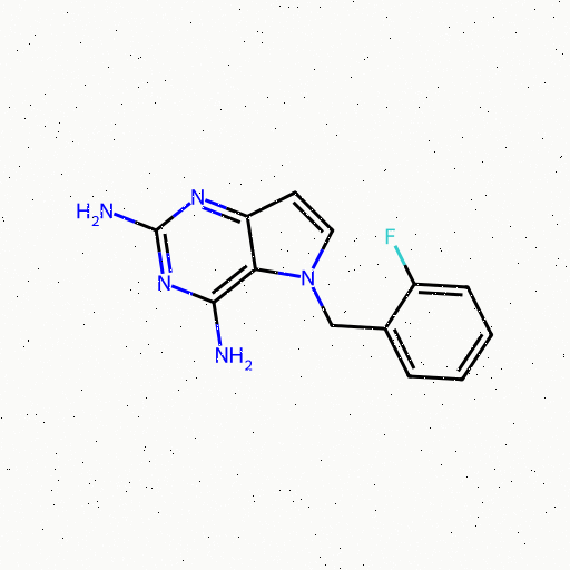 Nc1nc(N)c2c(ccn2Cc2ccccc2F)n1